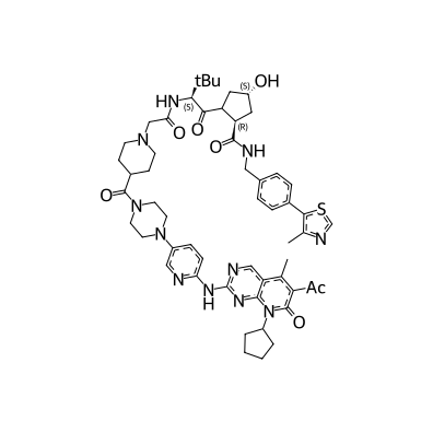 CC(=O)c1c(C)c2cnc(Nc3ccc(N4CCN(C(=O)C5CCN(CC(=O)N[C@H](C(=O)C6C[C@H](O)C[C@H]6C(=O)NCc6ccc(-c7scnc7C)cc6)C(C)(C)C)CC5)CC4)cn3)nc2n(C2CCCC2)c1=O